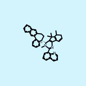 CC1CC=CC2=C1C(C)(C)C1=C2N=C(c2cccc3cccnc23)N(C)C1[C@H]1CCc2cc3ccccc3cc2-c2ccccc21